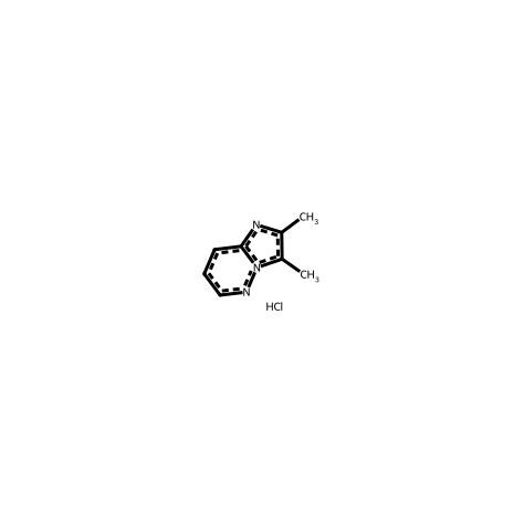 Cc1nc2cccnn2c1C.Cl